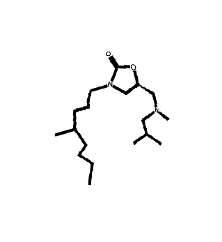 CCCCC(C)CCCN1C[C@H](CN(C)CC(C)C)OC1=O